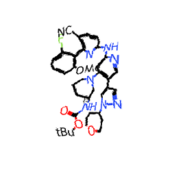 COc1cccc(F)c1-c1nc(Nc2cc(N3CCC[C@H](NC(=O)OC(C)(C)C)C3)c(-c3cnn(C4CCOCC4)c3)cn2)ccc1C#N